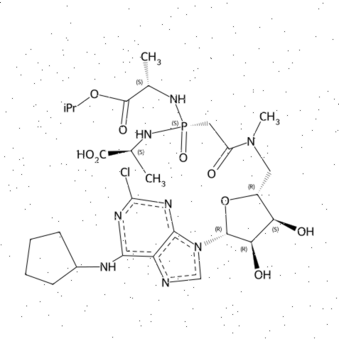 CC(C)OC(=O)[C@H](C)N[P@](=O)(CC(=O)N(C)C[C@H]1O[C@@H](n2cnc3c(NC4CCCC4)nc(Cl)nc32)[C@H](O)[C@@H]1O)N[C@@H](C)C(=O)O